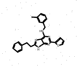 Ic1cccc(CNc2nc(-c3ccco3)nc3[nH]c(CCc4ccccc4)nc23)c1